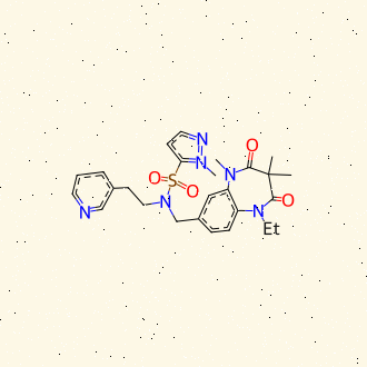 CCN1C(=O)C(C)(C)C(=O)N(C)c2cc(CN(CCc3cccnc3)S(=O)(=O)c3ccnn3C)ccc21